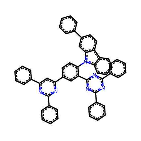 c1ccc(-c2ccc3c4ccccc4n(-c4ccc(-c5cc(-c6ccccc6)nc(-c6ccccc6)n5)cc4-c4nc(-c5ccccc5)nc(-c5ccccc5)n4)c3c2)cc1